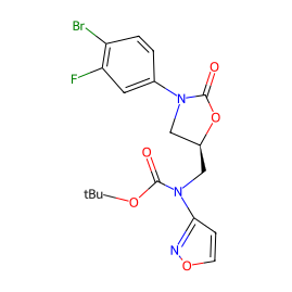 CC(C)(C)OC(=O)N(C[C@H]1CN(c2ccc(Br)c(F)c2)C(=O)O1)c1ccon1